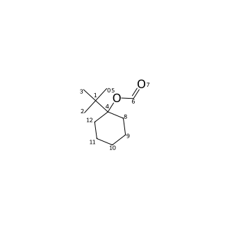 CC(C)(C)C1(OC=O)CCCCC1